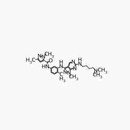 Cc1cc(C(=O)Nc2ccc(C)c(Nc3nn(C)c4nc(NCCCCN(C)C)ncc34)c2)n(C)n1